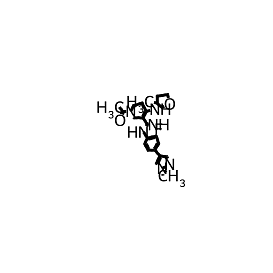 CC(=O)N1CCC(NC2(C)CCOC2)=C(C(=N)Nc2ccc(-c3cnn(C)c3)cc2F)C1